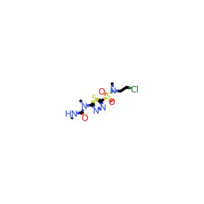 CNC(=O)N(C)c1nnc(S(=O)(=O)N(C)CCCl)s1